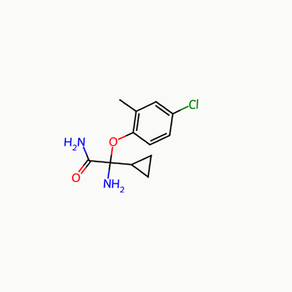 Cc1cc(Cl)ccc1OC(N)(C(N)=O)C1CC1